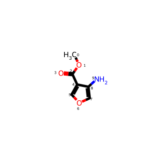 COC(=O)c1cocc1N